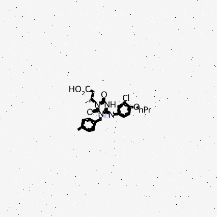 CCCOc1ccc(/N=c2\[nH]c(=O)n([C@H](C)CC(=O)O)c(=O)n2Cc2ccc(C)cc2)cc1Cl